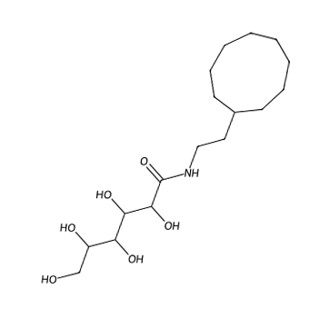 O=C(NCCC1CCCCCCCC1)C(O)C(O)C(O)C(O)CO